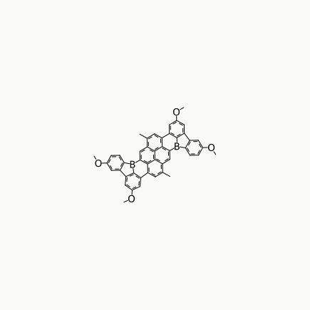 COc1ccc2c(c1)-c1cc(OC)cc3c1B2c1cc2c(C)cc4c5c(cc6c(C)cc-3c1c6c25)B1c2ccc(OC)cc2-c2cc(OC)cc-4c21